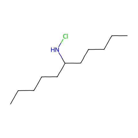 CCCCCC(CCCCC)NCl